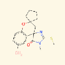 Bc1ccc2c(c1)C1(CC3(CCCC3)O2)N=C(SC)N(C)C1=O